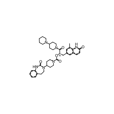 Cc1cc(C[C@@H](OC(=O)N2CCC(N3CCc4ccccc4NC3=O)CC2)C(=O)N2CCC(N3CCCCC3)CC2)cc2ccc(=O)[nH]c12